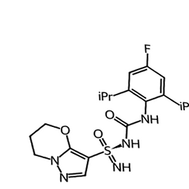 CC(C)c1cc(F)cc(C(C)C)c1NC(=O)N[S@](=N)(=O)c1cnn2c1OCCC2